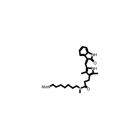 CNCCCCCCCN(C)C(=O)CCc1c(C)[nH]c(C=C2C(=O)Nc3ccccc32)c1C